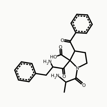 CC(N)C(=O)N1CCC(C(=O)c2ccccc2)C1(C(=O)O)C(=O)C(N)Cc1ccccc1